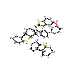 c1cc(-c2ccc(N(c3cccc4c3sc3ccccc34)c3cccc4c3sc3ccccc34)cc2)c2c(c1)oc1ccc3sc4ccccc4c3c12